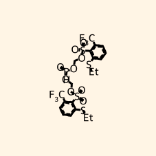 CCSc1cccc(C(F)(F)F)c1S(=O)(=O)OCO[PH](=O)OCOS(=O)(=O)c1c(SCC)cccc1C(F)(F)F